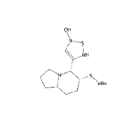 CCCCS[C@@H]1CCC2CCCN2[C@@H]1C1=CN(O)SN1